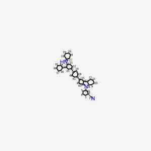 N#Cc1cccc(-n2c3ccccc3c3cc(-c4ccc(-c5ccc(Nc6ccccc6)c(-c6ccccc6)c5)cc4)ccc32)c1